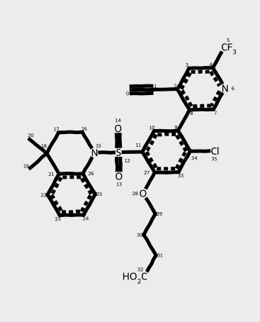 C#Cc1cc(C(F)(F)F)ncc1-c1cc(S(=O)(=O)N2CCC(C)(C)c3ccccc32)c(OCCCC(=O)O)cc1Cl